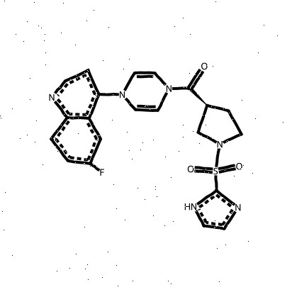 O=C([C@H]1CCN(S(=O)(=O)c2ncc[nH]2)C1)N1C=CN(c2ccnc3ccc(F)cc23)C=C1